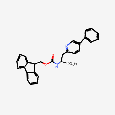 O=C(N[C@@H](Cc1ccc(-c2ccccc2)cn1)C(=O)O)OCC1c2ccccc2-c2ccccc21